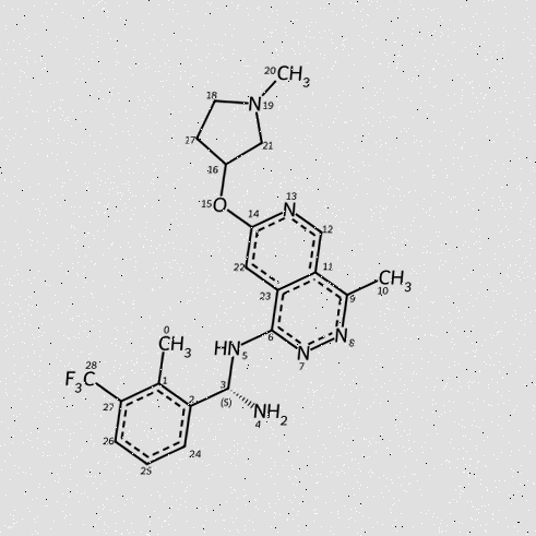 Cc1c([C@@H](N)Nc2nnc(C)c3cnc(OC4CCN(C)C4)cc23)cccc1C(F)(F)F